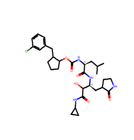 CC(C)C[C@H](NC(=O)OC1CCCC1Cc1cccc(Cl)c1)C(=O)N[C@@H](CC1CCNC1=O)C(O)C(=O)NC1CC1